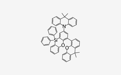 CC1(C)c2ccccc2N(c2cc(-c3cccc4c3Oc3ccccc3C4(C)C)c3c(c2)[Si](c2ccccc2)(c2ccccc2)c2ccccc2O3)c2ccccc21